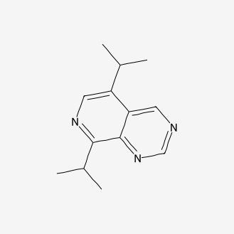 CC(C)c1cnc(C(C)C)c2ncncc12